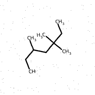 [CH]CC(C)CC(C)(C)CC